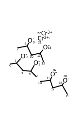 CC([O-])CC(C)[O-].CC([O-])CC(C)[O-].CC([O-])CC(C)[O-].[Cr+3].[Cr+3]